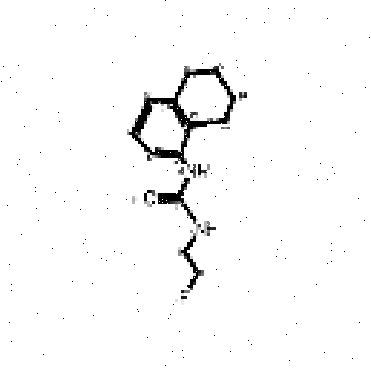 O=C(NCCF)Nc1cccc2c1CCCC2